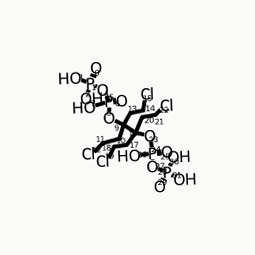 O=P(O)(O)OP(=O)(O)OC(CCCl)(CCCl)C(CCCl)(CCCl)OP(=O)(O)OP(=O)(O)O